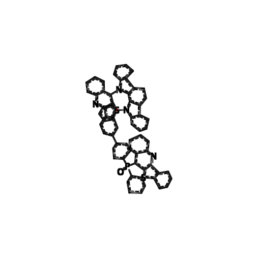 O=P(c1ccccc1)(c1ccc(-c2ccc3c(c2)sc2c(-n4c5ccccc5c5ccc6c7ccccc7n(-c7ccccc7)c6c54)c4ccccc4nc23)cc1)c1c2ccccc2nc2c1sc1ccccc12